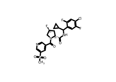 CS(=O)(=O)c1cncc(C(=O)N2C[C@@H](F)C[C@@H]2C(=O)NC(c2cc(F)c(Cl)cc2F)C2CC2)c1